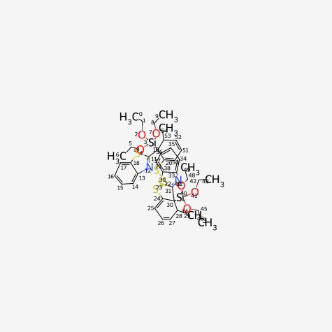 CCO[Si](OCC)(OCC)C1(c2nc3ccccc3s2)C(SSSC2=CC=CC(C)C2(c2nc3ccccc3s2)[Si](OCC)(OCC)OCC)=CC=CC1C